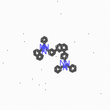 c1ccc(-c2nc(-c3ccccc3)nc(-c3ccc(-c4cccc5ccc(-c6cccc(-c7nc(-c8ccccc8)nc(-c8cccc9ccccc89)n7)c6)cc45)cc3)n2)cc1